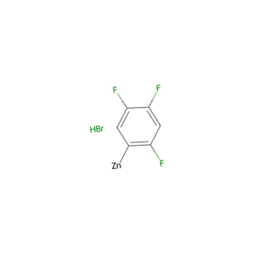 Br.Fc1cc(F)[c]([Zn])cc1F